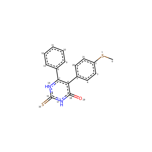 CSc1ccc(-c2c(-c3ccccc3)[nH]c(=S)[nH]c2=O)cc1